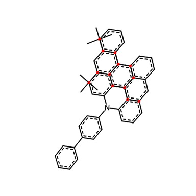 CC(C)(C)c1cc(-c2cccc3cccc(-c4ccccc4N(c4ccc(-c5ccccc5)cc4)c4ccccc4-c4ccc(-c5ccccc5)cc4)c23)cc(C(C)(C)C)c1